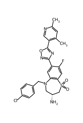 Cc1cc(C)c(-c2nc(-c3cc4c(cc3F)S(=O)(=O)C[C@H](N)CN4Cc3ccc(Cl)cc3)no2)cn1